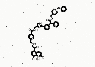 O=C(NCc1cnc(-c2cccc(C(C(=O)OCC3CCN(Cc4ccccc4)CC3)c3ccccc3)c2)s1)c1ccc(CNCC(O)c2ccc(O)c3[nH]c(=O)ccc23)cc1